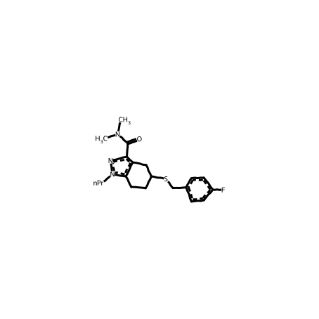 CCCn1nc(C(=O)N(C)C)c2c1CCC(SCc1ccc(F)cc1)C2